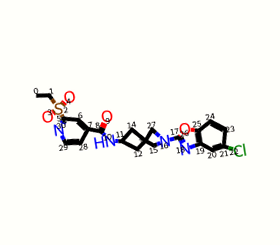 CCS(=O)(=O)c1cc(C(=O)NC2CC3(C2)CN(c2nc4cc(Cl)ccc4o2)C3)ccn1